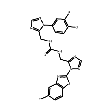 O=C(NCc1ncnn1-c1ccc(Cl)c(F)c1)NCc1ncnn1-c1nc2cc(Cl)ccc2s1